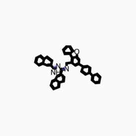 N/C(=N\C(=N/Cc1cc(-c2ccc(-c3ccccc3)cc2)cc2oc3ccccc3c12)c1ccc2ccccc2c1)c1ccc2ccccc2c1